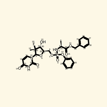 C[C@H](NP(=O)(OC[C@H]1OC(n2ccc(=O)[nH]c2=O)[C@](C)(F)[C@@H]1O)Oc1ccccc1)C(=O)OCc1ccccc1